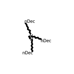 CCCCCCCCCCCCCCCCCCN1C=CN(CCCCCCCCCCCCCCCCC)C1CCCCCCCCCCCCCCC